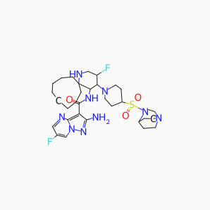 Nc1nn2cc(F)cnc2c1C(=O)NC1C(N2CCC(S(=O)(=O)N3CCN4CCC3CC4)CC2)C(F)CNC12CCCCCCCC2